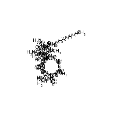 CCCCCCCCCCCCCCCC(=O)NCC(=O)C(=O)N[C@@H](CO)C(=O)N[C@@H](CC(N)=O)C(=O)N[C@@H](CC(N)=O)C(=O)N[C@H](C(=O)N[C@@H](CCCC)C(=O)N[C@H]1CCC(=O)CNCCCC[C@@H](C(N)=O)NC(=O)[C@H](Cc2c[nH]c3ccccc23)NC(=O)[C@H](CCCNC(=N)N)NC(=O)[C@@H](Cc2ccccc2)NC(=O)[C@@H]2C[C@@H](O)CN2C1=O)C(C)O